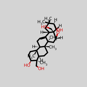 CC1(C)C[C@H]2C3=CC[C@@H]4[C@@]5(C)CC[C@H](O)[C@](C)(CO)[C@@H]5CC[C@@]4(C)[C@]3(C)C[C@H]3O[C@@H]1[C@H](O)[C@]32CO